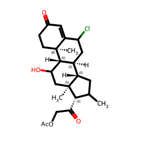 CC(=O)OCC(=O)[C@H]1C(C)C[C@H]2[C@@H]3CC(Cl)C4=CC(=O)CC[C@]4(C)[C@H]3C(O)C[C@]12C